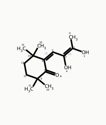 C/C(O)=C(O)\C=C1/C(=O)C(C)(C)CCC1(C)C